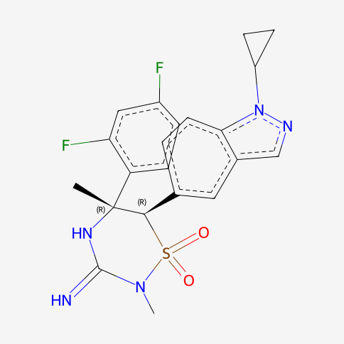 CN1C(=N)N[C@](C)(c2ccc(F)cc2F)[C@@H](c2ccc3c(cnn3C3CC3)c2)S1(=O)=O